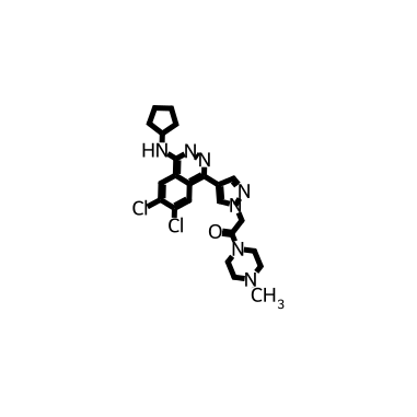 CN1CCN(C(=O)Cn2cc(-c3nnc(NC4CCCC4)c4cc(Cl)c(Cl)cc34)cn2)CC1